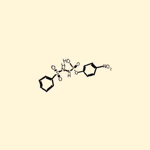 O=[N+]([O-])c1ccc(OP(=O)(O)NNS(=O)(=O)c2ccccc2)cc1